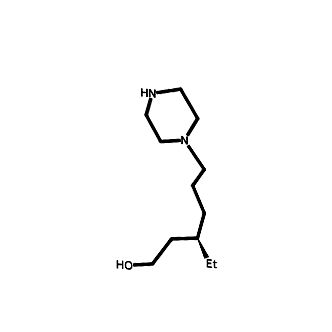 CC[C@@H](CCO)CCCN1CCNCC1